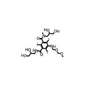 COCOCNc1c(I)c(C(=O)NCC(O)CO)c(I)c(C(=O)N(C)CC(O)CO)c1I